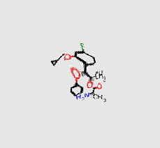 C[C@H](N)C(=O)O[C@@H](C)[C@H](Oc1ccccc1)c1ccc(F)cc1OCC1CC1